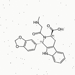 CNCC(=O)N1[C@@H](c2ccc3c(c2)OCO3)c2[nH]c3ccccc3c2C[C@@H]1C(=O)O